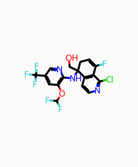 OCC1(Nc2ncc(C(F)(F)F)cc2OC(F)F)CC=C(F)c2c1ccnc2Cl